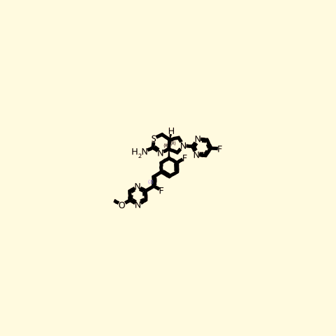 COc1cnc(/C(F)=C/C2=CC=C(F)C([C@]34CN(c5ncc(F)cn5)C[C@H]3CSC(N)=N4)C2)cn1